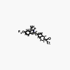 CCC(=O)N1CCc2cc(OC/C(Nc3ccc(C(F)(F)F)nc3)=C(\C)NN)ncc2C1